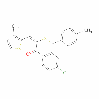 Cc1ccc(CSC(=Cc2sccc2C)C(=O)c2ccc(Cl)cc2)cc1